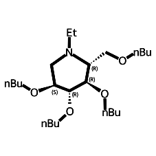 CCCCOC[C@@H]1[C@@H](OCCCC)[C@H](OCCCC)[C@@H](OCCCC)CN1CC